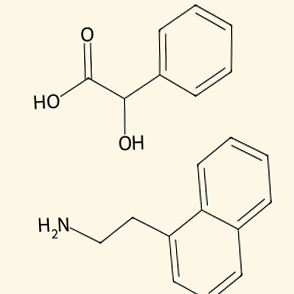 NCCc1cccc2ccccc12.O=C(O)C(O)c1ccccc1